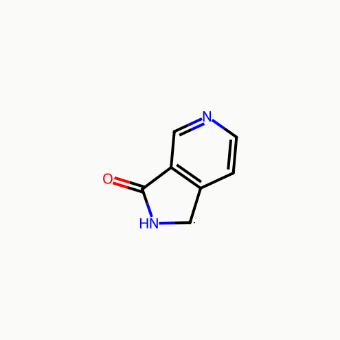 O=C1N[CH]c2ccncc21